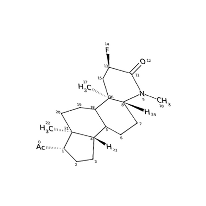 CC(=O)[C@H]1CC[C@H]2C3CC[C@H]4N(C)C(=O)[C@H](F)C[C@]4(C)C3CC[C@]12C